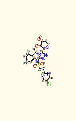 COc1ccnc2c1OC[C@H](c1ccc(F)cc1F)n1c(NS(=O)(=O)CCc3ncc(Cl)cn3)nnc1-2